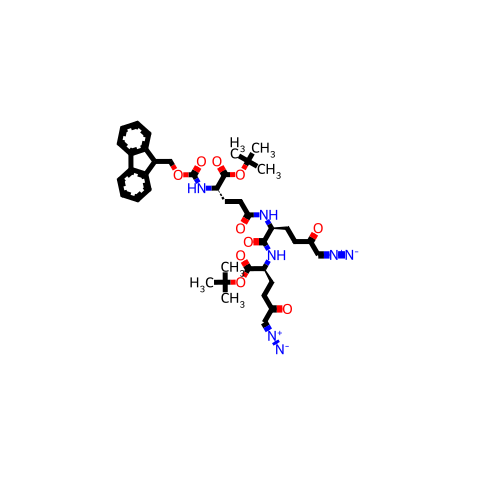 CC(C)(C)OC(=O)[C@H](CCC(=O)N[C@@H](CCC(=O)C=[N+]=[N-])C(=O)N[C@@H](CCC(=O)C=[N+]=[N-])C(=O)OC(C)(C)C)NC(=O)OCC1c2ccccc2-c2ccccc21